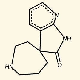 O=C1Nc2ncccc2C12CCCNCC2